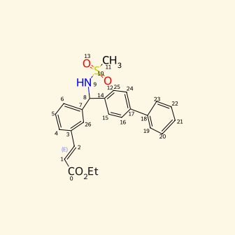 CCOC(=O)/C=C/c1cccc(C(NS(C)(=O)=O)c2ccc(-c3ccccc3)cc2)c1